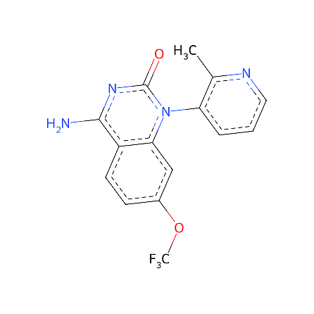 Cc1ncccc1-n1c(=O)nc(N)c2ccc(OC(F)(F)F)cc21